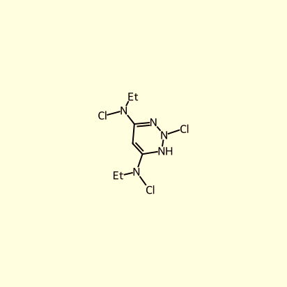 CCN(Cl)C1=CC(N(Cl)CC)=NN(Cl)N1